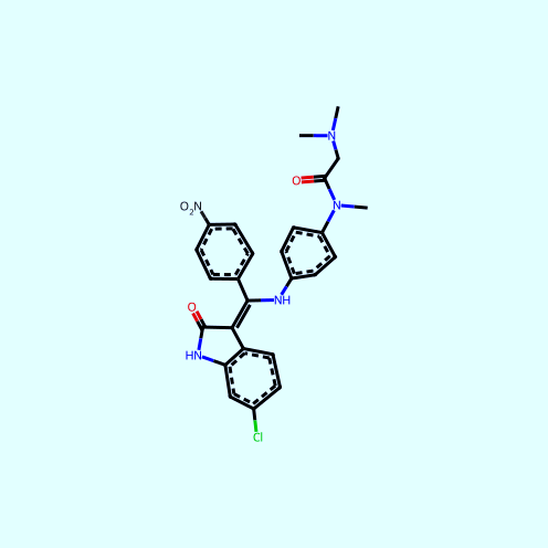 CN(C)CC(=O)N(C)c1ccc(NC(=C2C(=O)Nc3cc(Cl)ccc32)c2ccc([N+](=O)[O-])cc2)cc1